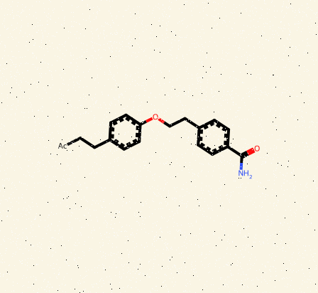 CC(=O)CCc1ccc(OCCc2ccc(C(N)=O)cc2)cc1